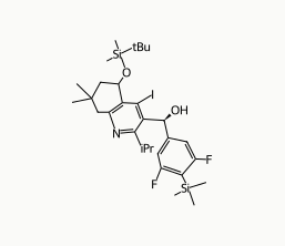 CC(C)c1nc2c(c(I)c1[C@@H](O)c1cc(F)c([Si](C)(C)C)c(F)c1)C(O[Si](C)(C)C(C)(C)C)CC(C)(C)C2